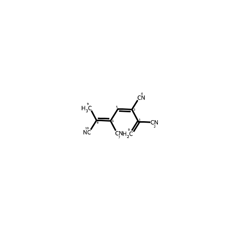 C=C(C#N)/C(C#N)=C\C(C#N)=C(/C)C#N